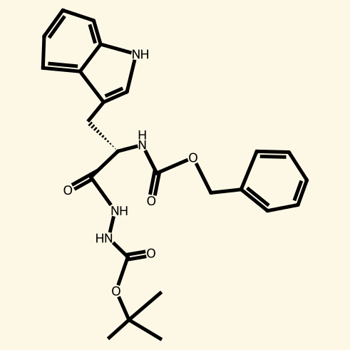 CC(C)(C)OC(=O)NNC(=O)[C@H](Cc1c[nH]c2ccccc12)NC(=O)OCc1ccccc1